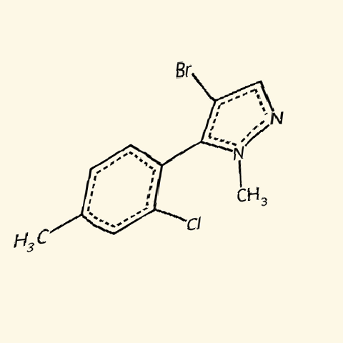 Cc1ccc(-c2c(Br)cnn2C)c(Cl)c1